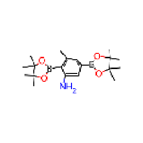 Cc1cc(B2OC(C)(C)C(C)(C)O2)cc(N)c1B1OC(C)(C)C(C)(C)O1